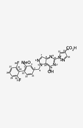 COc1cc(Cn2ncc3nc(-n4cc(C(=O)O)cn4)nc(O)c32)ccc1-c1c(F)cccc1F